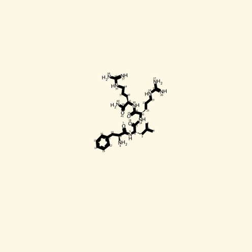 CC(C)C[C@H](NC(=O)[C@@H](N)Cc1ccccc1)C(=O)N[C@@H](CCCNC(=N)N)C(=O)N[C@H](CCCNC(=N)N)C(N)=O